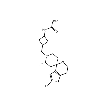 CCc1cc2c(s1)CCO[C@@]21CCN(CC2CC(NC(=O)OC)C2)[C@@H](C)C1